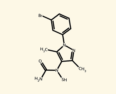 Cc1nn(-c2cccc(Br)c2)c(C)c1N(S)C(N)=O